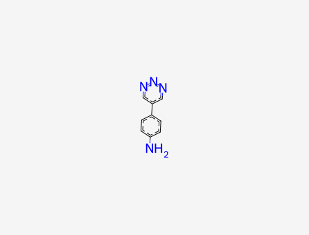 Nc1ccc(-c2cnnnc2)cc1